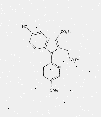 CCOC(=O)Cc1c(C(=O)OCC)c2cc(O)ccc2n1-c1ccc(OC)cn1